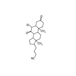 CCC1C(=O)C2C3CCC(CCCC#N)C3(C)CCC2C2(C)CCC(=O)CC12